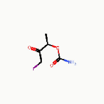 CC(OC(N)=O)C(=O)CI